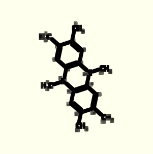 Cc1cc2c(cc1C)N(C)c1cc(C)c(C)cc1N2C